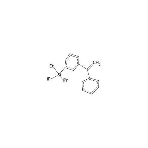 C=C(c1ccccc1)c1cccc([Si](CC)(C(C)C)C(C)C)c1